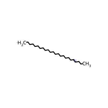 [CH2]CCCCCCCCCCCCCCCCCC/C=C/CCC